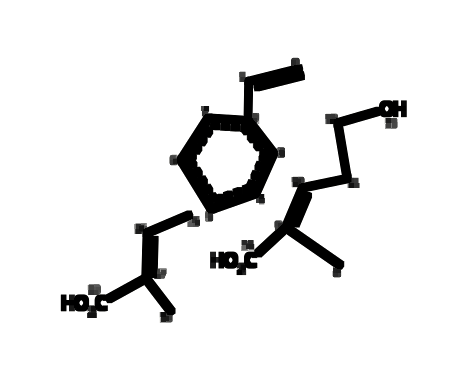 C=Cc1ccccc1.CC(=CCCO)C(=O)O.CC=C(C)C(=O)O